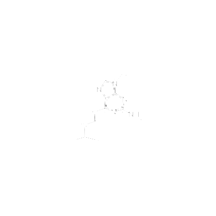 CC(C)SCOc1nc(N)nc2c1ncn2C